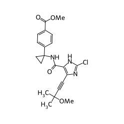 COC(=O)c1ccc(C2(NC(=O)c3[nH]c(Cl)nc3C#CC(C)(C)OC)CC2)cc1